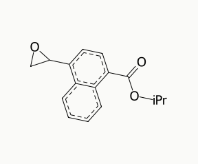 CC(C)OC(=O)c1ccc(C2CO2)c2ccccc12